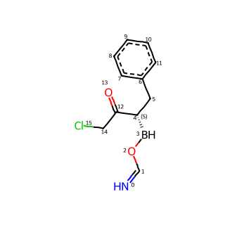 N=COB[C@@H](Cc1ccccc1)C(=O)CCl